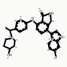 CC(c1ccc(Nc2ccc(-c3cnc4cc(F)ccn34)c3c2C(=O)NC3)nc1)N1CCC(O)CC1